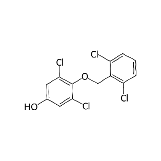 Oc1cc(Cl)c(OCc2c(Cl)cccc2Cl)c(Cl)c1